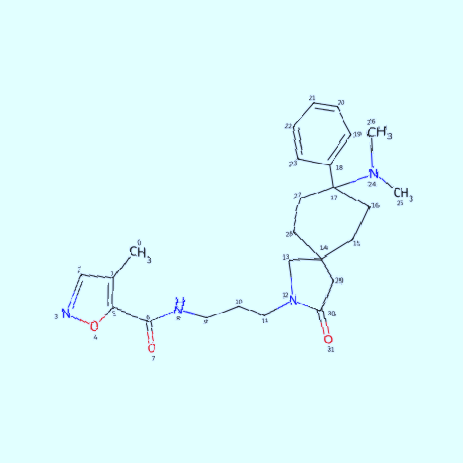 Cc1cnoc1C(=O)NCCCN1CC2(CCC(c3ccccc3)(N(C)C)CC2)CC1=O